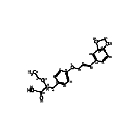 CCO[C@@H](Cc1ccc(OCC=Cc2ccc3c(c2)OCO3)cc1)C(=O)O